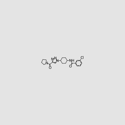 O=C(NC1CCC(n2cc(C(=O)N3CCCC3)nn2)CC1)c1cccc(Cl)c1